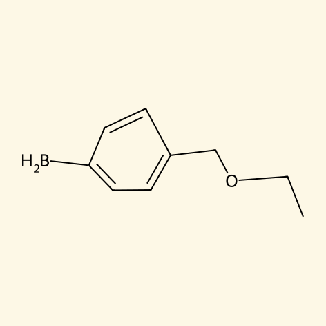 Bc1ccc(COCC)cc1